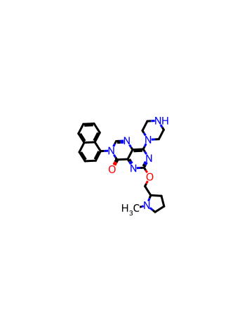 CN1CCCC1COc1nc(N2CCNCC2)c2ncn(-c3cccc4ccccc34)c(=O)c2n1